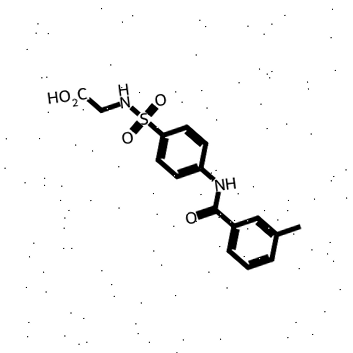 Cc1cccc(C(=O)Nc2ccc(S(=O)(=O)NCC(=O)O)cc2)c1